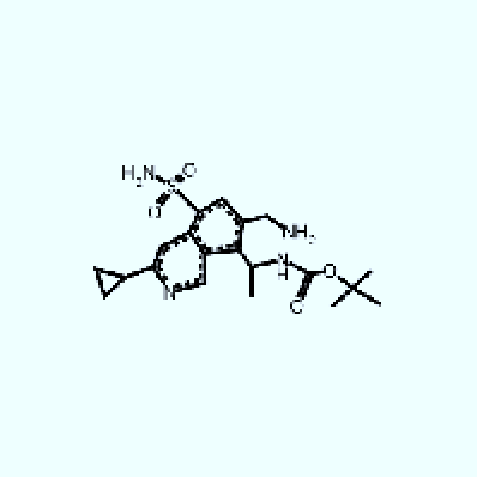 CC(NC(=O)OC(C)(C)C)c1c(CN)cc(S(N)(=O)=O)c2cc(C3CC3)ncc12